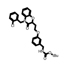 CC(C)(C)OC(=O)NCc1cccc(OCCC2Oc3ccccc3N(Cc3ccccc3Cl)C2=O)c1